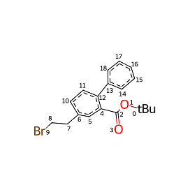 CC(C)(C)OC(=O)c1cc(CCBr)ccc1-c1ccccc1